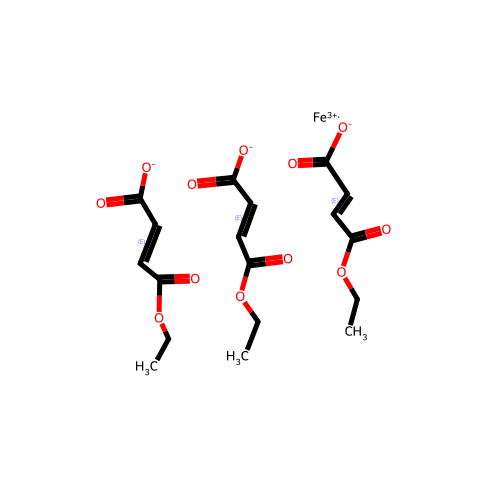 CCOC(=O)/C=C/C(=O)[O-].CCOC(=O)/C=C/C(=O)[O-].CCOC(=O)/C=C/C(=O)[O-].[Fe+3]